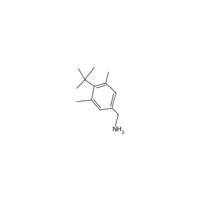 Cc1cc(CN)cc(C)c1C(C)(C)C